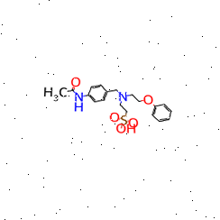 CC(=O)Nc1ccc(CN(CCOc2ccccc2)CCS(=O)(=O)O)cc1